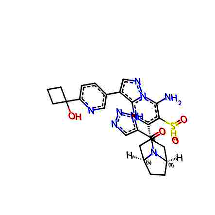 Nc1c([SH](=O)=O)c([C@@H]2C[C@H]3CC[C@@H](C2)N3C(=O)c2cnn[nH]2)nc2c(-c3ccc(C4(O)CCC4)nc3)cnn12